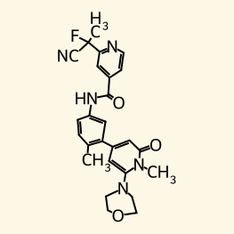 Cc1ccc(NC(=O)c2ccnc(C(C)(F)C#N)c2)cc1-c1cc(N2CCOCC2)n(C)c(=O)c1